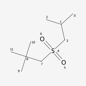 CC(C)CS(=O)(=O)CC(C)(C)C